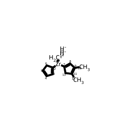 [CH2]=[Zr]([C]1=CC=CC1)[C]1=CC(C)=C(C)C1.[H-].[H-]